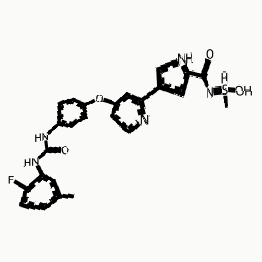 Cc1ccc(F)c(NC(=O)Nc2ccc(Oc3ccnc(-c4c[nH]c(C(=O)N=[SH](C)(C)O)c4)c3)cc2)c1